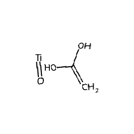 C=C(O)O.[O]=[Ti]